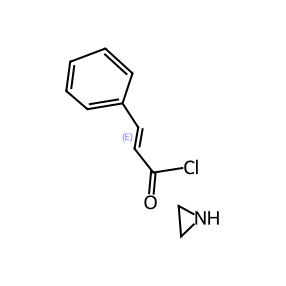 C1CN1.O=C(Cl)/C=C/c1ccccc1